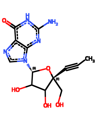 CC#C[C@]1(CO)O[C@@H](n2cnc3c(=O)[nH]c(N)nc32)C(O)C1O